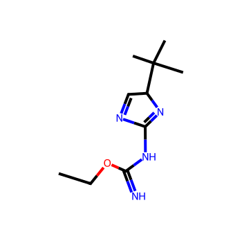 CCOC(=N)NC1=NC(C(C)(C)C)C=N1